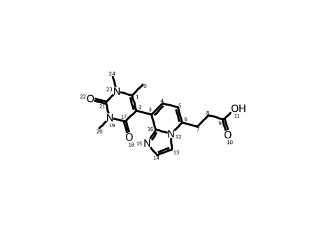 Cc1c(-c2ccc(CCC(=O)O)n3ccnc23)c(=O)n(C)c(=O)n1C